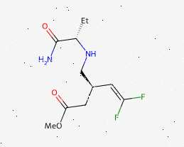 CC[C@H](NC[C@@H](C=C(F)F)CC(=O)OC)C(N)=O